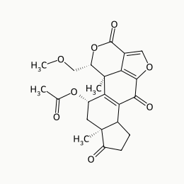 COC[C@@H]1OC(=O)c2coc3c2[C@@]1(C)C1=C(C3=O)C2CCC(=O)[C@@]2(C)C[C@@H]1OC(C)=O